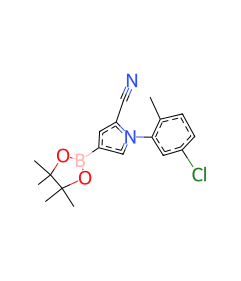 Cc1ccc(Cl)cc1-n1cc(B2OC(C)(C)C(C)(C)O2)cc1C#N